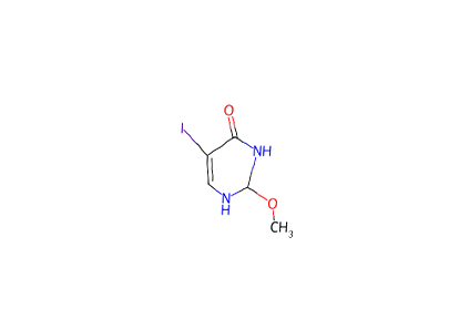 COC1NC=C(I)C(=O)N1